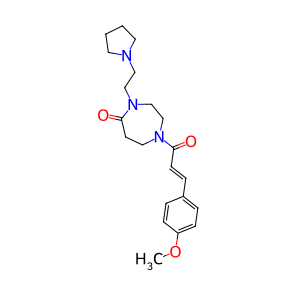 COc1ccc(/C=C/C(=O)N2CCC(=O)N(CCN3CCCC3)CC2)cc1